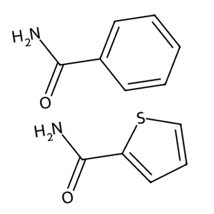 NC(=O)c1ccccc1.NC(=O)c1cccs1